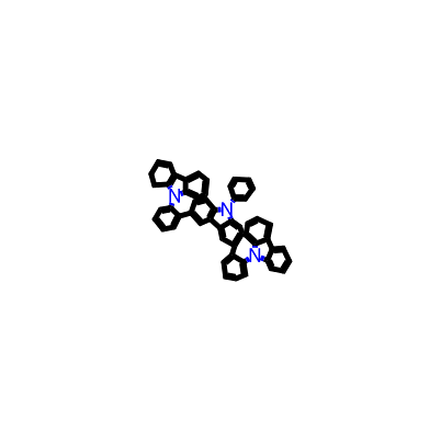 C1=Cc2c(n(-c3ccccc3-c3ccc4c(c3)c3cc(-c5ccccc5-n5c6ccccc6c6ccccc65)ccc3n4-c3ccccc3)c3ccccc23)CC1